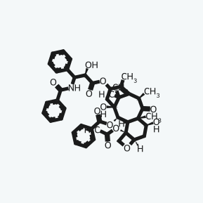 CC(=O)O[C@@]12CO[C@@H]1C[C@H](O)[C@@]1(C)C(=O)[C@H](C)C3=C(C)C(OC(=O)[C@H](O)C(NC(=O)c4ccccc4)c4ccccc4)C[C@@](O)([C@@H](OC(=O)c4ccccc4)[C@H]21)C3(C)C